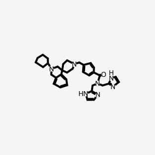 O=C(c1ccc(CN2CCC3(CC2)CN(C2CCCCC2)Cc2ccccc23)cc1)N(Cc1ncc[nH]1)Cc1ncc[nH]1